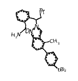 Cc1c(-c2ccc(C(C)(C)C)cc2)ccc2nn(C(CC(C)C)c3ccccc3C(N)=O)cc12